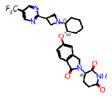 O=C1CC[C@@H](N2Cc3cc(O[C@H]4CCCC[C@@H]4N4CC(c5ncc(C(F)(F)F)cn5)C4)ccc3C2=O)C(=O)N1